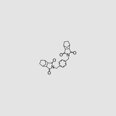 O=C1C2C3CCC(C3)C2C(=O)N1Cc1ccc(CN2C(=O)C3C4CCC(C4)C3C2=O)cc1